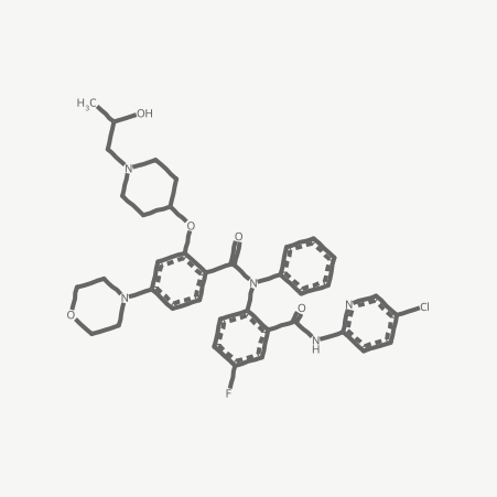 CC(O)CN1CCC(Oc2cc(N3CCOCC3)ccc2C(=O)N(c2ccccc2)c2ccc(F)cc2C(=O)Nc2ccc(Cl)cn2)CC1